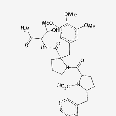 COc1cc(CC2(C(=O)NC(C(N)=O)C(C)O)CCCN2C(=O)C2CCC(Cc3ccccc3)N2C(=O)O)cc(OC)c1OC